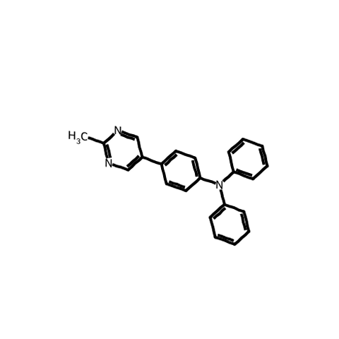 Cc1ncc(-c2ccc(N(c3ccccc3)c3ccccc3)cc2)cn1